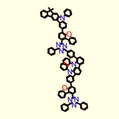 CC1(C)c2ccccc2-c2cc3c4cc(-c5ccc(-c6nc(-c7ccccc7)nc(-c7ccc(-c8cccc9c%10ccc%11c%12cc(-c%13ccc(-c%14nc(-c%15ccccc%15)nc(-c%15ccccc%15)n%14)c%14c%13oc%13ccccc%13%14)ccc%12n(-c%12ccccc%12)c%11c%10n(-c%10ccccc%10)c89)cc7)n6)c6c5oc5ccccc56)ccc4n(-c4ccccc4)c3cc21